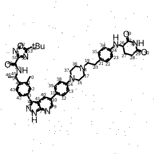 Cc1cc(-c2n[nH]c3ncc(-c4ccc(N5CCN(CCc6ccc(NC7CCC(=O)NC7=O)cc6)CC5)cc4)cc23)ccc1[C@@H](C)NC(=O)c1noc(C(C)(C)C)n1